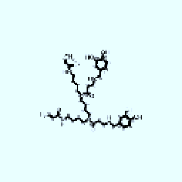 C=CC(=O)NCCCCN(CCCCN(CCCCNC(=O)C=C)C(=O)CCNCc1ccc(O)c(O)c1)C(=O)CCNCc1ccc(O)c(O)c1